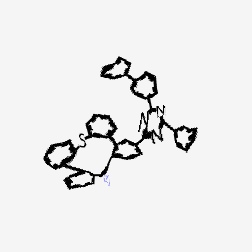 C1=C\c2ccc(-c3nc(-c4ccccc4)nc(-c4cccc(-c5ccccc5)c4)n3)cc2-c2ccccc2Sc2ccccc2-c2ccccc2/1